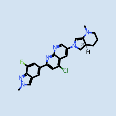 CN1CCC[C@H]2CN(c3cnc4nc(-c5cc(F)c6nn(C)cc6c5)cc(Cl)c4c3)C=C21